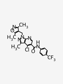 Cc1noc(C)c1Cn1nc(C)c2c(Cl)c(C(=O)Nc3ccc(C(F)(F)F)cc3)cnc21